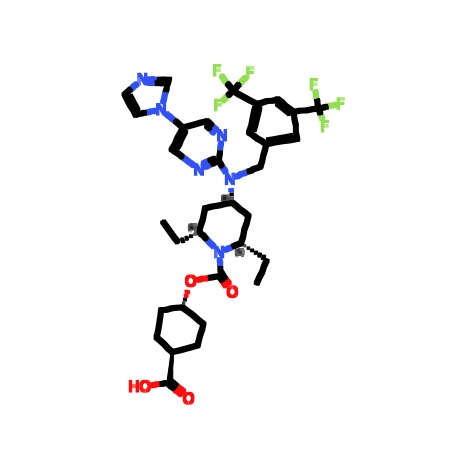 CC[C@@H]1C[C@H](N(Cc2cc(C(F)(F)F)cc(C(F)(F)F)c2)c2ncc(-n3ccnc3)cn2)C[C@H](CC)N1C(=O)O[C@H]1CC[C@H](C(=O)O)CC1